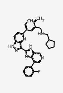 C=C/C(=C\C(=C/C)c1ccc2[nH]nc(-c3nc4c(-c5ccccc5F)cncc4[nH]3)c2n1)CNCC1CCCC1